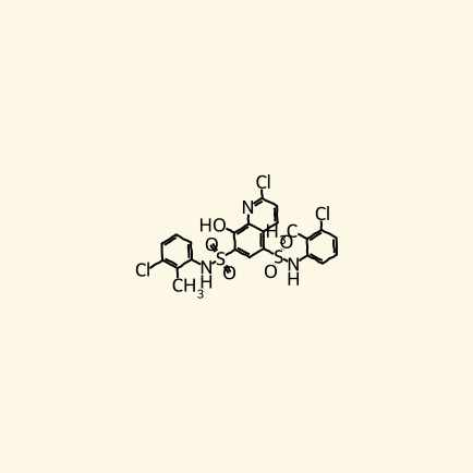 Cc1c(Cl)cccc1NS(=O)(=O)c1cc(S(=O)(=O)Nc2cccc(Cl)c2C)c2ccc(Cl)nc2c1O